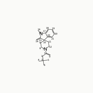 C=C(CC(C)(C)C)N1CCC2(CC1)C(=C)N(C)c1ccccc12